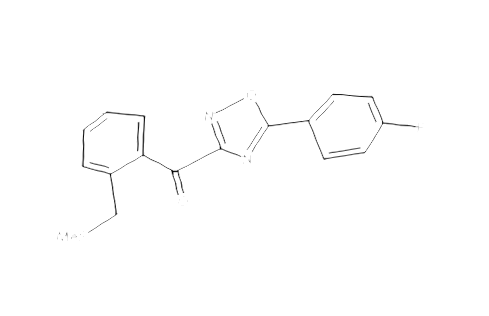 CSCc1cc[c]cc1C(=O)c1noc(-c2ccc(F)cc2)n1